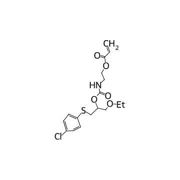 C=CC(=O)OCCNC(=O)OC(COCC)CSc1ccc(Cl)cc1